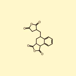 O=C1CC(CC2CC3C(=O)OC(=O)C3c3ccccc32)C(=O)O1